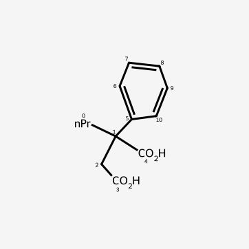 CCCC(CC(=O)O)(C(=O)O)c1ccccc1